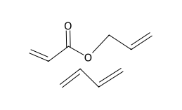 C=CC=C.C=CCOC(=O)C=C